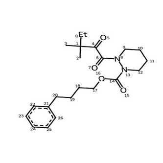 CCC(C)(C)C(=O)C(=O)N1CCCCN1C(=O)OCCCCc1ccccc1